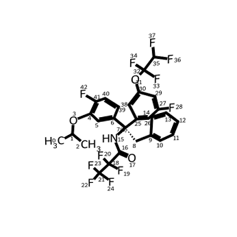 CC(C)Oc1cc([C@](Cc2ccccc2)(NC(=O)C(F)(F)C(F)(F)F)c2cc(F)cc(OC(F)(F)C(F)F)c2)ccc1F